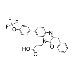 O=C(O)CCn1c(=O)c(Cc2ccccc2)nc2ccc(-c3ccc(OC(F)(F)F)cc3)cc21